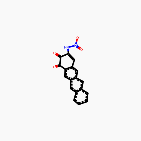 O=C1C(=O)c2cc3cc4ccccc4cc3cc2C=C1N[N+](=O)[O-]